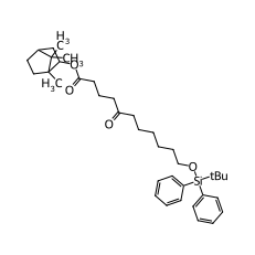 CC1(C)C2CCC1(C)C(OC(=O)CCCC(=O)CCCCCCO[Si](c1ccccc1)(c1ccccc1)C(C)(C)C)C2